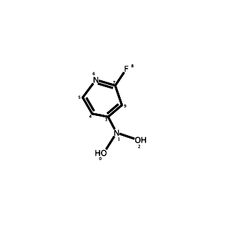 ON(O)c1ccnc(F)c1